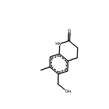 Cc1cc2c(cc1CO)CCC(=O)N2